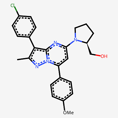 COc1ccc(-c2cc(N3CCC[C@H]3CO)nc3c(-c4ccc(Cl)cc4)c(C)nn23)cc1